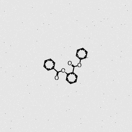 O=C(Oc1ccccc1C(=O)Oc1[c]cccc1)c1ccccc1